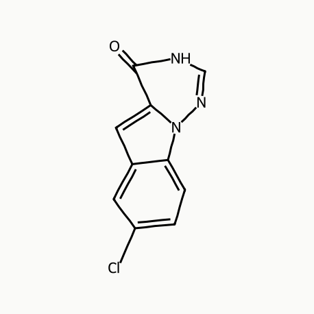 O=c1[nH]cnn2c1cc1cc(Cl)ccc12